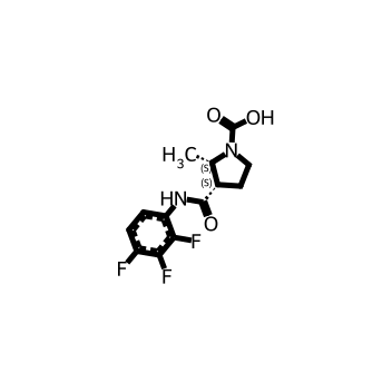 C[C@H]1[C@@H](C(=O)Nc2ccc(F)c(F)c2F)CCN1C(=O)O